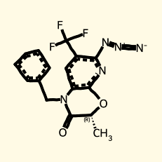 C[C@H]1Oc2nc(N=[N+]=[N-])c(C(F)(F)F)cc2N(Cc2ccccc2)C1=O